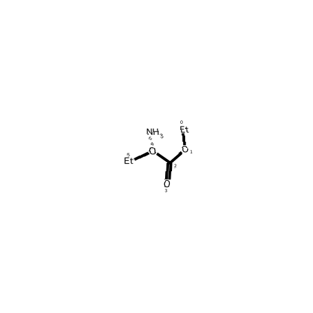 CCOC(=O)OCC.N